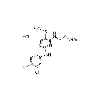 CC(=O)NCCNc1nc(Nc2ccc(Cl)c(Cl)c2)ncc1SC(F)(F)F.Cl